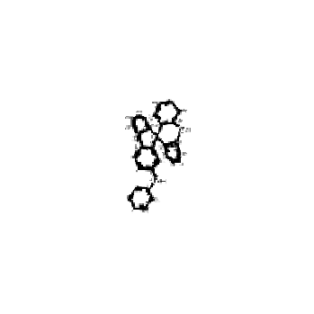 c1ccc(Nc2ccc3c(c2)C2(c4ccccc4Oc4ccccc42)c2ccccc2-3)cc1